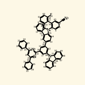 N#Cc1ccc(-n2c3ccccc3c3cc(-c4cc(-c5nc(-c6ccccc6)cc(-c6ccccc6)n5)cc(-n5c6ccccc6c6ccccc65)c4)ccc32)c(-c2c(F)cccc2F)c1